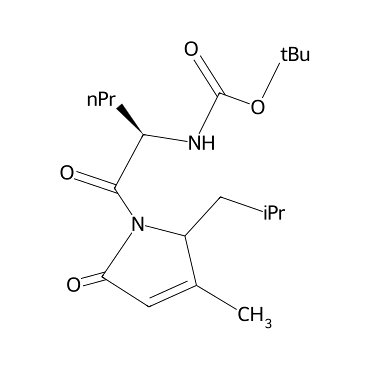 CCC[C@@H](NC(=O)OC(C)(C)C)C(=O)N1C(=O)C=C(C)C1CC(C)C